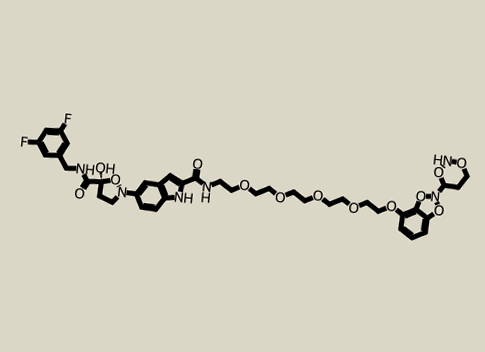 O=C(NCCOCCOCCOCCOCCOc1cccc2c1ON(C1CCONO1)O2)c1cc2cc(N3CC[C@@](O)(C(=O)NCc4cc(F)cc(F)c4)O3)ccc2[nH]1